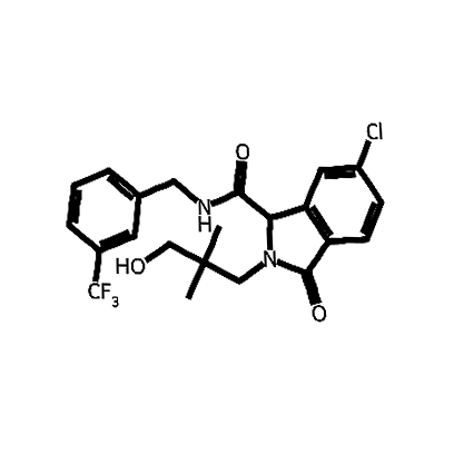 CC(C)(CO)CN1C(=O)c2ccc(Cl)cc2C1C(=O)NCc1cccc(C(F)(F)F)c1